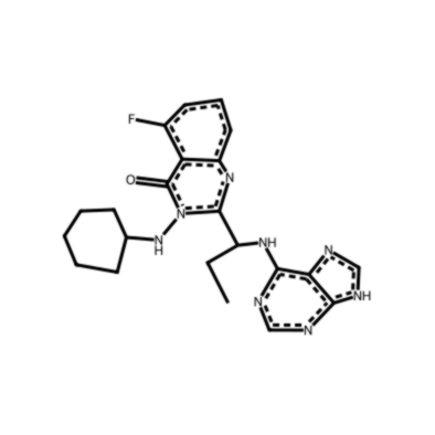 CCC(Nc1ncnc2[nH]cnc12)c1nc2cccc(F)c2c(=O)n1NC1CCCCC1